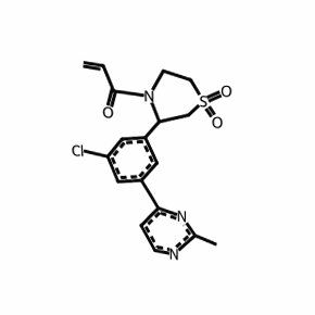 C=CC(=O)N1CCS(=O)(=O)CC1c1cc(Cl)cc(-c2ccnc(C)n2)c1